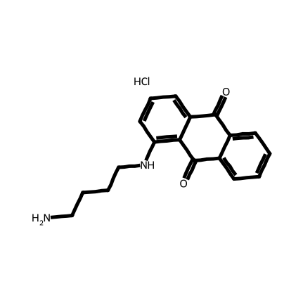 Cl.NCCCCNc1cccc2c1C(=O)c1ccccc1C2=O